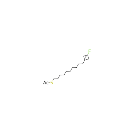 CC(=O)SCCCCCCCCCCC12CC(F)(C1)C2